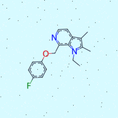 CCn1c(C)c(C)c2ccnc(COc3ccc(F)cc3)c21